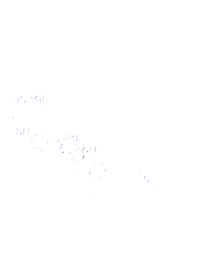 CC(C)(N)CCCc1cc(Cl)c(F)c(-c2cc3cn(-c4ccc([C@@H]5CCCC[C@@H](CCNC(=N)CF)N5)cc4)c(=O)nc3[nH]2)c1